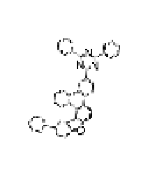 c1ccc(-c2ccc3oc4ccc5c6ccc(-c7nc(-c8ccccc8)nc(-c8ccccc8)n7)cc6c6ccccc6c5c4c3c2)cc1